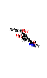 CCCCC[C@H](O)/C=C/[C@@H]1[C@H]2C/C(=C/CCCC(=O)NC(C)C)C[C@H]2C[C@H]1O